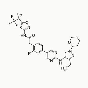 CCc1nn(C2CCCCO2)cc1Nc1ncc(-c2ccc(CC(=O)Nc3cc(C4(C(F)(F)F)CC4)on3)c(F)c2)cn1